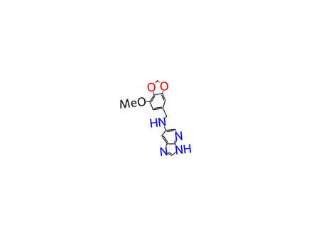 COc1cc(CNc2cnc3[nH]cnc3c2)cc2c1OCO2